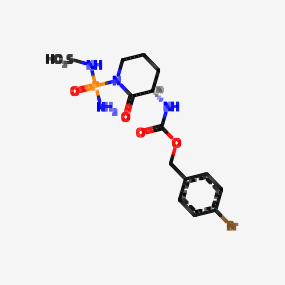 NP(=O)(NS(=O)(=O)O)N1CCC[C@H](NC(=O)OCc2ccc(Br)cc2)C1=O